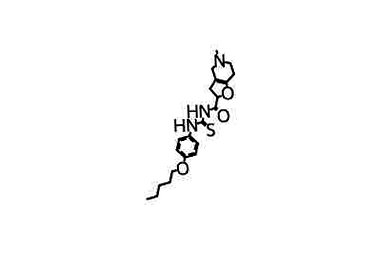 CCCCCOc1ccc(NC(=S)NC(=O)C2CC3=C(CCN(C)C3)O2)cc1